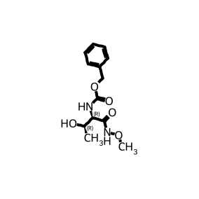 CONC(=O)[C@H](NC(=O)OCc1ccccc1)[C@@H](C)O